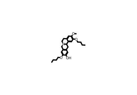 CCCCOc1cc2c(cc1O)CC1c3cc(OCCCC)c(OC)cc3CCN1C2